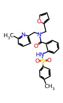 Cc1ccc(S(=O)(=O)Nc2ccccc2C(=O)N(Cc2cccc(C)n2)Cc2ccco2)cc1